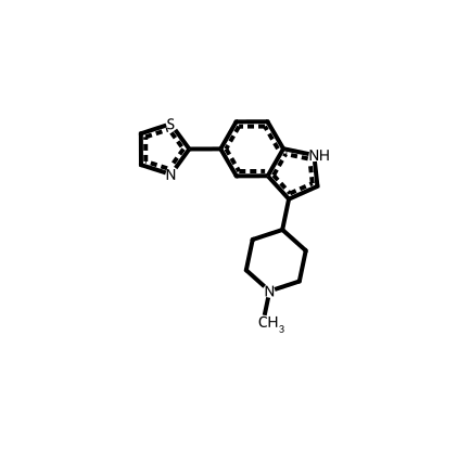 CN1CCC(c2c[nH]c3ccc(-c4nccs4)cc23)CC1